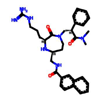 CN(C)C(=O)[C@H](CN1CC[C@@H](CNC(=O)c2ccc3ccccc3c2)N[C@@H](CCCNC(=N)N)C1=O)c1ccccc1